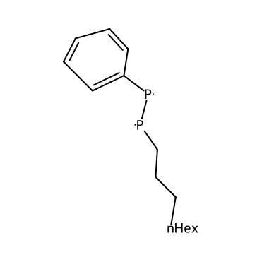 CCCCCCCCC[P][P]c1ccccc1